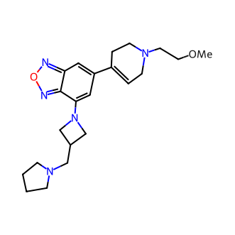 COCCN1CC=C(c2cc(N3CC(CN4CCCC4)C3)c3nonc3c2)CC1